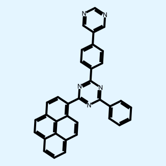 c1ccc(-c2nc(-c3ccc(-c4cncnc4)cc3)nc(-c3ccc4ccc5cccc6ccc3c4c56)n2)cc1